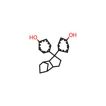 Oc1ccc(C2(c3ccc(O)cc3)CCC3C4CCC(C4)C32)cc1